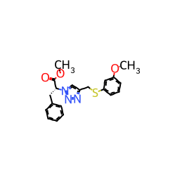 COC(=O)[C@@H](Cc1ccccc1)n1cc(CSc2cccc(OC)c2)nn1